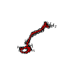 CO[C@H]1C[C@@H]2CC[C@@H](C)[C@@](O)(O2)C(=O)C(=O)N2CCCC[C@H]2C(=O)O[C@H](C[C@H](O)[C@H](C)C[C@@H]2CC[C@@H](OC(=O)NCCOCCOCCOCCOCCOCCOCCOCCOCCC(=O)N3CCc4cc(Cn5nc(-c6ccc7oc(N)nc7c6)c6c(N)ncnc65)ccc4C3)[C@H](OC)C2)[C@H](C)/C=C(\C)[C@@H](O)[C@@H](OC)C(=O)[C@H](C)C[C@H](C)/C=C/C=C/C=C/1C